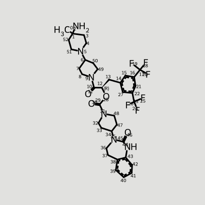 CC1(N)CCN(C2CCN(C(=O)[C@@H](Cc3cc(C(F)(F)F)cc(C(F)(F)F)c3)OC(=O)N3CCC(N4CCc5ccccc5NC4=O)CC3)CC2)CC1